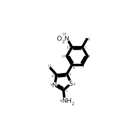 Cc1ccc(-c2sc(N)nc2C)cc1[N+](=O)[O-]